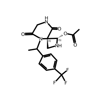 CC(=O)O[C@@H]1NC[C@@]12C(=O)NCC(=O)N2C(C)c1ccc(C(F)(F)F)cc1